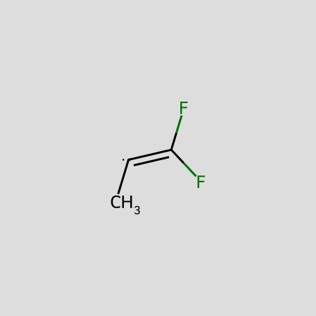 C[C]=C(F)F